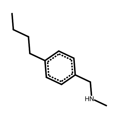 CCCCc1ccc(CNC)cc1